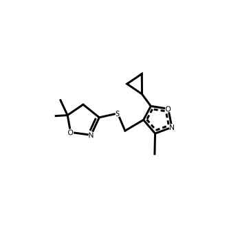 Cc1noc(C2CC2)c1CSC1=NOC(C)(C)C1